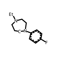 CCN1CCCN(c2ccc(F)cc2)CC1